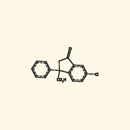 O=C1CC(C(=O)O)(c2ccccc2)c2ccc(Cl)cc21